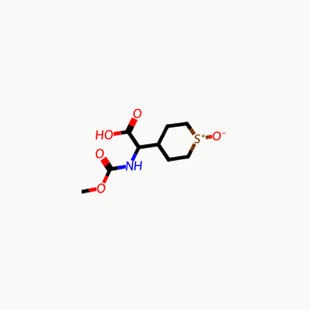 COC(=O)NC(C(=O)O)C1CC[S+]([O-])CC1